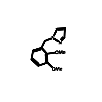 COc1cccc(Cn2[c]ccn2)c1OC